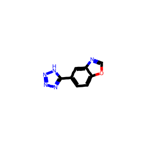 c1nc2cc(-c3nnn[nH]3)ccc2o1